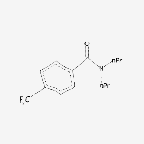 CCCN(CCC)C(=O)c1ccc(C(F)(F)F)cc1